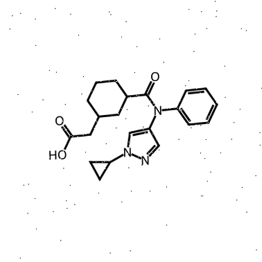 O=C(O)CC1CCCC(C(=O)N(c2ccccc2)c2cnn(C3CC3)c2)C1